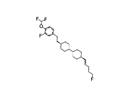 FCCCC=C[C@H]1CC[C@H]([C@H]2CC[C@H](CCc3ccc(OC(F)F)c(F)c3)CC2)CC1